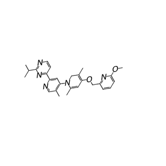 COc1cccc(COC2=C(C)CN(c3cc(-c4ccnc(C(C)C)n4)ncc3C)C(C)=C2)n1